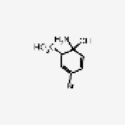 NC1(O)C=CC(Br)=CC1C(=O)O